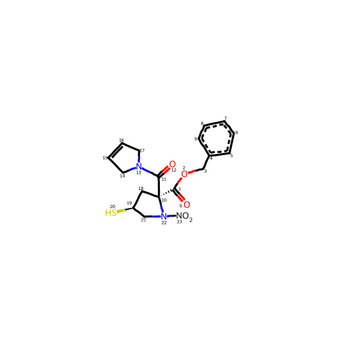 O=C(OCc1ccccc1)[C@@]1(C(=O)N2CC=CC2)C[C@H](S)CN1[N+](=O)[O-]